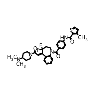 Cc1ccsc1C(=O)Nc1ccc(C(=O)N2CCC(F)(F)C(=CC(=O)N3CCC(N(C)C)CC3)c3ccccc32)cc1